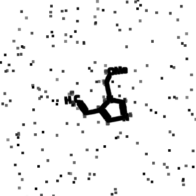 C=Cc1cncn1COC